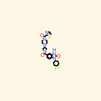 O=C(c1ccc2c(c1)[nH]c(=O)n2C1CCC(F)(F)CC1)N1CC(N2CCN(C(=O)c3nccs3)CC2)C1